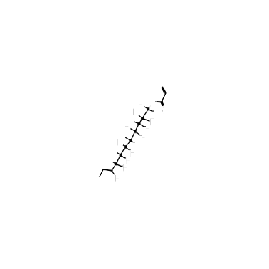 C=CC(=O)OC(F)(F)C(F)(F)C(F)(F)C(F)(F)C(F)(F)C(F)(F)C(F)(F)C(F)(F)C(F)CC